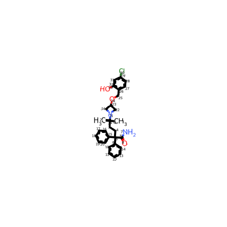 CC(C)(CCC(C(N)=O)(c1ccccc1)c1ccccc1)N1CC(OCc2ccc(Cl)cc2O)C1